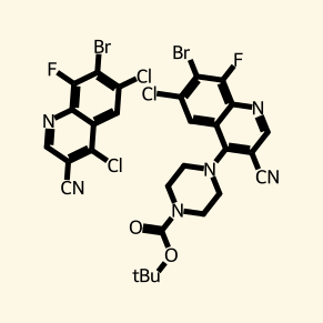 CC(C)(C)OC(=O)N1CCN(c2c(C#N)cnc3c(F)c(Br)c(Cl)cc23)CC1.N#Cc1cnc2c(F)c(Br)c(Cl)cc2c1Cl